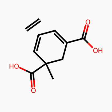 C=C.CC1(C(=O)O)C=CC=C(C(=O)O)C1